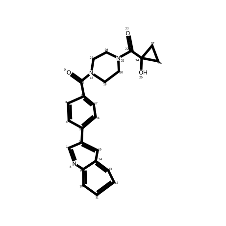 O=C(c1ccc(-c2cnc3ccccc3c2)cc1)N1CCN(C(=O)C2(O)CC2)CC1